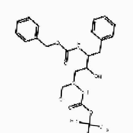 CCN(CC(O)C(Cc1ccccc1)NC(=O)OCc1ccccc1)NC(=O)OC(C)(C)C